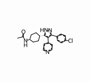 CC(=O)N[C@H]1CC[C@H](c2[nH]nc(-c3ccc(Cl)cc3)c2-c2ccncc2)CC1